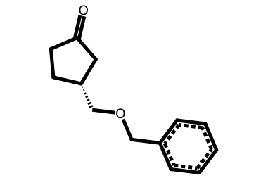 O=C1CC[C@@H](COCc2ccccc2)C1